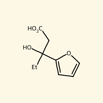 CCC(O)(CC(=O)O)c1ccco1